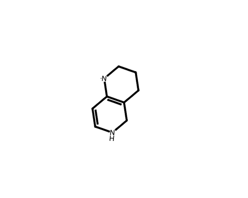 C1=CC2=C(CCC[N]2)CN1